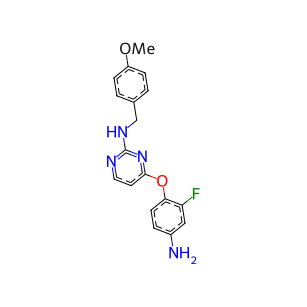 COc1ccc(CNc2nccc(Oc3ccc(N)cc3F)n2)cc1